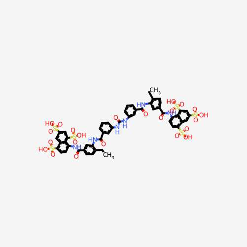 CCc1ccc(C(=O)Nc2ccc(S(=O)(=O)O)c3cc(S(=O)(=O)O)cc(S(=O)(=O)O)c23)cc1NC(=O)c1cccc(NC(=O)Nc2cccc(C(=O)Nc3cc(C(=O)Nc4ccc(S(=O)(=O)O)c5cc(S(=O)(=O)O)cc(S(=O)(=O)O)c45)ccc3CC)c2)c1